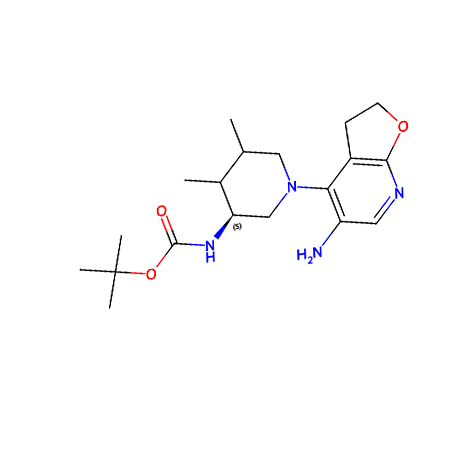 CC1CN(c2c(N)cnc3c2CCO3)C[C@@H](NC(=O)OC(C)(C)C)C1C